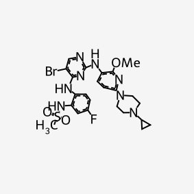 COc1nc(N2CCN(C3CC3)CC2)ccc1Nc1ncc(Br)c(Nc2ccc(F)cc2NS(C)(=O)=O)n1